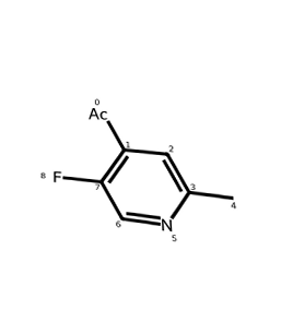 CC(=O)c1cc(C)ncc1F